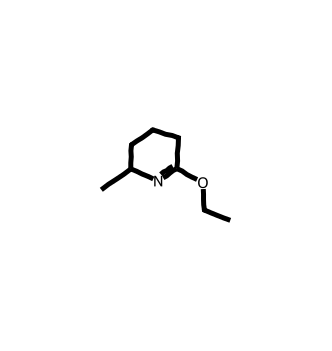 CCOC1=NC(C)CCC1